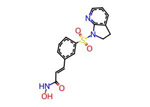 O=C(C=Cc1cccc(S(=O)(=O)N2CCc3cccnc32)c1)NO